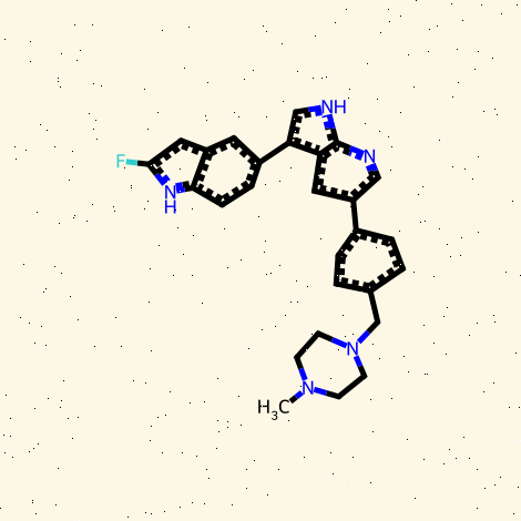 CN1CCN(Cc2ccc(-c3cnc4[nH]cc(-c5ccc6[nH]c(F)cc6c5)c4c3)cc2)CC1